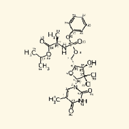 Cc1cn([C@@H]2O[C@H](COP(=O)(N[C@H](C)C(=O)OC(C)C)Oc3ccccc3)[C@@H](O)C2(Cl)Cl)c(=O)[nH]c1=O